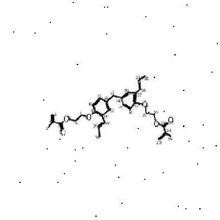 C=C(C)C(=O)OCCOc1ccc(Cc2ccc(OCCOC(=O)C(=C)C)c(C=CC)c2)cc1C=CC